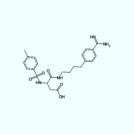 Cc1ccc(S(=O)(=O)NC(CC(=O)O)C(=O)NCCCCc2ccc(C(=N)N)cc2)cc1